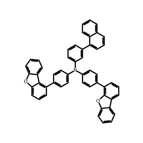 c1cc(-c2cccc3ccccc23)cc(N(c2ccc(-c3cccc4c3oc3ccccc34)cc2)c2ccc(-c3cccc4oc5ccccc5c34)cc2)c1